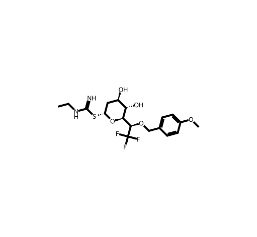 CCNC(=N)S[C@@H]1C[C@@H](O)[C@H](O)[C@@H]([C@@H](OCc2ccc(OC)cc2)C(F)(F)F)O1